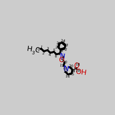 CCCCCCC/C(=N\OCCN1CCC[C@@H](C(=O)O)C1)c1ccccc1